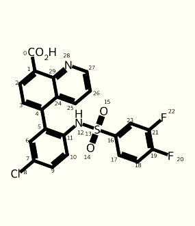 O=C(O)c1ccc(-c2cc(Cl)ccc2NS(=O)(=O)c2ccc(F)c(F)c2)c2cccnc12